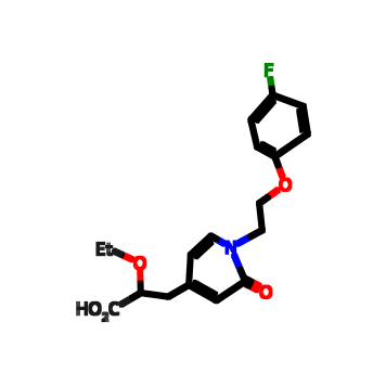 CCOC(Cc1ccn(CCOc2ccc(F)cc2)c(=O)c1)C(=O)O